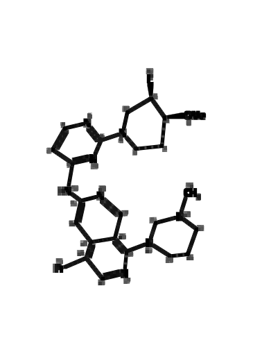 CO[C@H]1CCN(c2nccc(Nc3cc4c(C(C)C)cnc(N5CCCN(C)C5)c4cn3)n2)C[C@H]1F